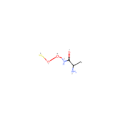 CC(N)C(=O)NOOS